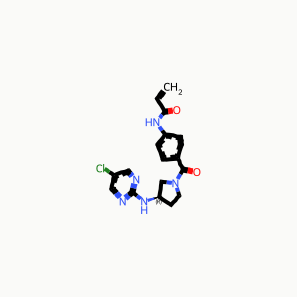 C=CC(=O)Nc1ccc(C(=O)N2CC[C@@H](Nc3ncc(Cl)cn3)C2)cc1